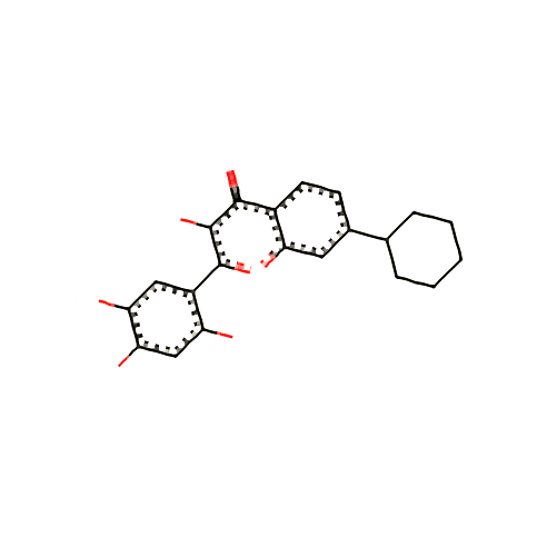 O=c1c(O)c(-c2cc(O)c(O)cc2O)oc2cc(C3CCCCC3)ccc12